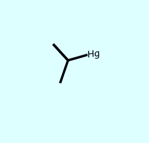 C[CH](C)[Hg]